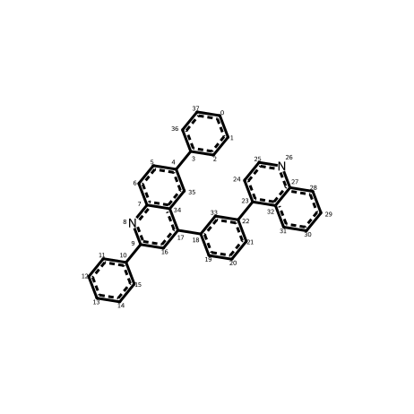 c1ccc(-c2ccc3nc(-c4ccccc4)cc(-c4cccc(-c5ccnc6ccccc56)c4)c3c2)cc1